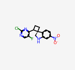 O=[N+]([O-])c1ccc2c(c1)NC[C@@]21CCC1c1nc(Cl)ncc1F